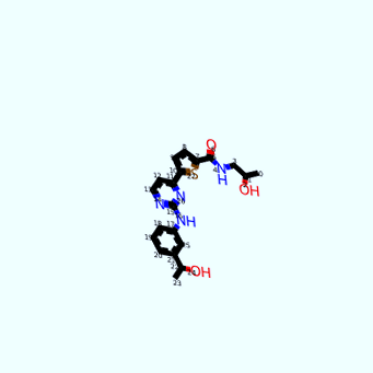 CC(O)CNC(=O)c1ccc(-c2ccnc(Nc3cccc(C(C)O)c3)n2)s1